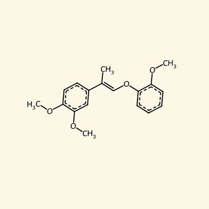 COc1ccc(/C(C)=C/Oc2ccccc2OC)cc1OC